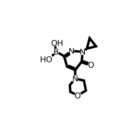 O=c1c(N2CCOCC2)cc(B(O)O)nn1C1CC1